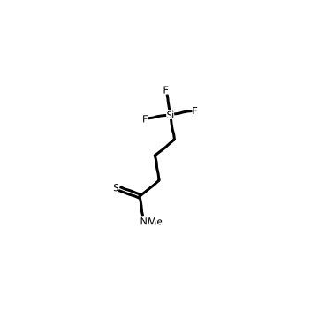 CNC(=S)CCC[Si](F)(F)F